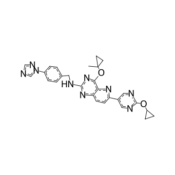 CC1(Oc2nc(NCc3ccc(-n4cncn4)cc3)nc3ccc(-c4cnc(OC5CC5)nc4)nc23)CC1